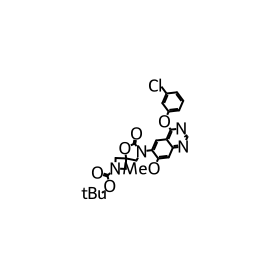 COc1cc2ncnc(Oc3cccc(Cl)c3)c2cc1N1CC2(CN(C(=O)OC(C)(C)C)C2)OC1=O